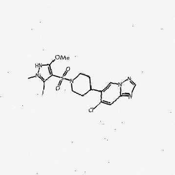 COc1[nH][n+](C)c(I)c1S(=O)(=O)N1CCC(c2cn3ncnc3cc2Cl)CC1